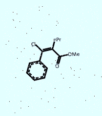 CCCC(C(=O)OC)=C(Cl)c1ccccc1